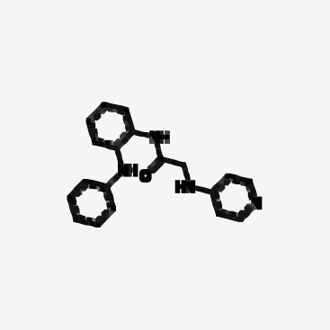 O=C(CNc1ccncc1)Nc1ccccc1Nc1ccccc1